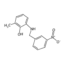 Cc1cccc(NCc2cccc([N+](=O)[O-])c2)c1O